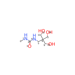 CNC(=O)NCC(CO)(CO)CO